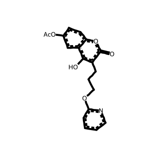 CC(=O)Oc1ccc2oc(=O)c(CCCOc3ccccn3)c(O)c2c1